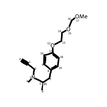 C#CCN(C)[C@H](C)Cc1ccc(OCCOCOC)cc1